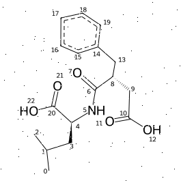 CC(C)C[C@H](NC(=O)[C@@H](CC(=O)O)Cc1ccccc1)C(=O)O